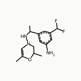 CC1=CN(NC(C)c2cc(N)cc(C(F)F)c2)CC(C)O1